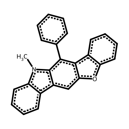 Cn1c2ccccc2c2cc3oc4ccccc4c3c(-c3ccccc3)c21